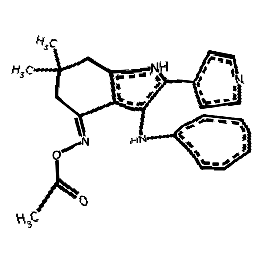 CC(=O)O/N=C1\CC(C)(C)Cc2[nH]c(-c3ccncc3)c(Nc3ccccc3)c21